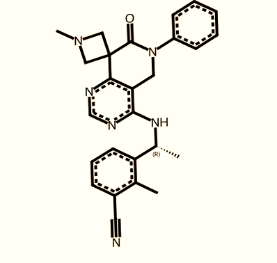 Cc1c(C#N)cccc1[C@@H](C)Nc1ncnc2c1CN(c1ccccc1)C(=O)C21CN(C)C1